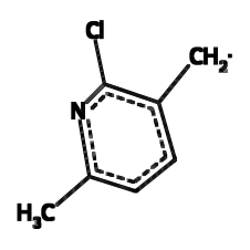 [CH2]c1ccc(C)nc1Cl